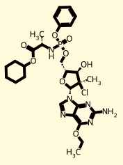 CCOc1nc(N)nc2c1ncn2[C@@H]1O[C@H](COP(=O)(N[C@@H](C)C(=O)OC2CCCCC2)Oc2ccccc2)[C@@H](O)[C@@]1(C)Cl